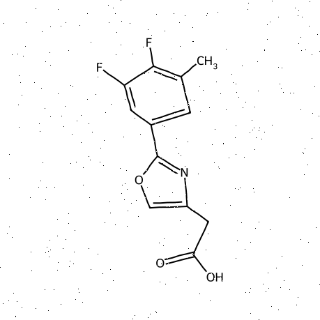 Cc1cc(-c2nc(CC(=O)O)co2)cc(F)c1F